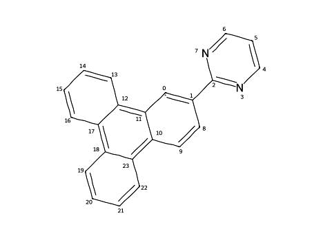 [c]1c(-c2ncccn2)ccc2c1c1ccccc1c1ccccc21